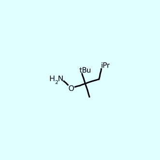 CC(C)CC(C)(ON)C(C)(C)C